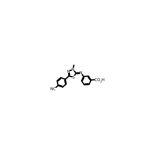 Cn1nc(-c2ccc(C#N)cc2)sc1=Nc1cccc(C(=O)O)c1